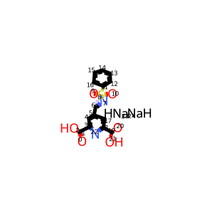 O=C(O)c1cc(/C=N/S(=O)(=O)c2ccccc2)cc(C(=O)O)n1.[NaH].[NaH]